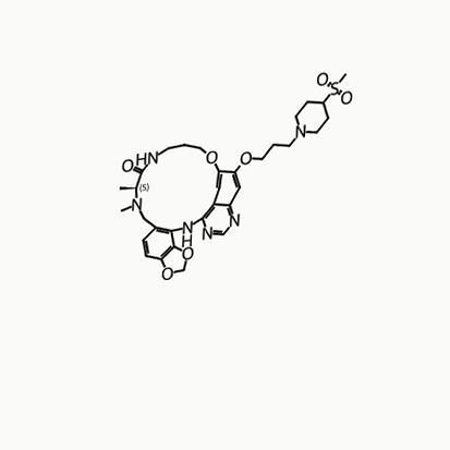 C[C@H]1C(=O)NCCCOc2cc3c(ncnc3cc2OCCCN2CCC(S(C)(=O)=O)CC2)Nc2c(ccc3c2OCO3)CN1C